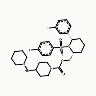 O=C(OC[C@H]1CCC[C@@H](c2cccc(F)c2)N1S(=O)(=O)c1ccc(F)cc1)N1CCC(NN2CCCCC2)CC1